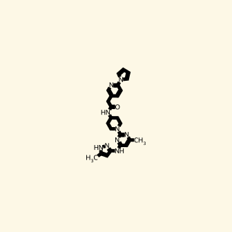 Cc1cc(Nc2cc(C)[nH]n2)nc(N2CCC(NC(=O)Cc3ccc(-n4cccc4)nc3)CC2)n1